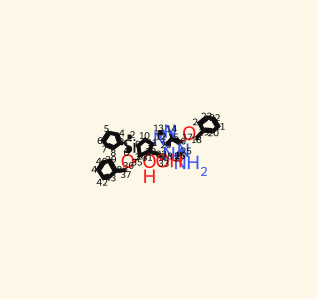 C[Si](C)(c1ccccc1)[C@H]1C[C@H](n2cnc3c(OCc4ccccc4)nc(N)nc32)[C@](O)(CO)[C@@H]1COCc1ccccc1